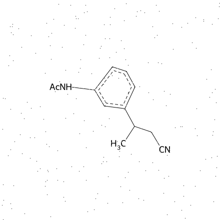 CC(=O)Nc1cccc(C(C)CC#N)c1